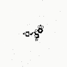 CN1CCN(CC[C@H](Oc2cccc3c2OCO3)c2ccc(Br)s2)CC1